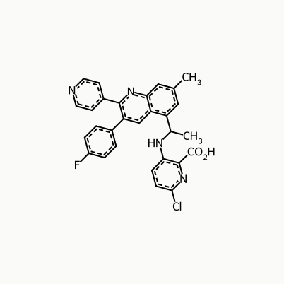 Cc1cc(C(C)Nc2ccc(Cl)nc2C(=O)O)c2cc(-c3ccc(F)cc3)c(-c3ccncc3)nc2c1